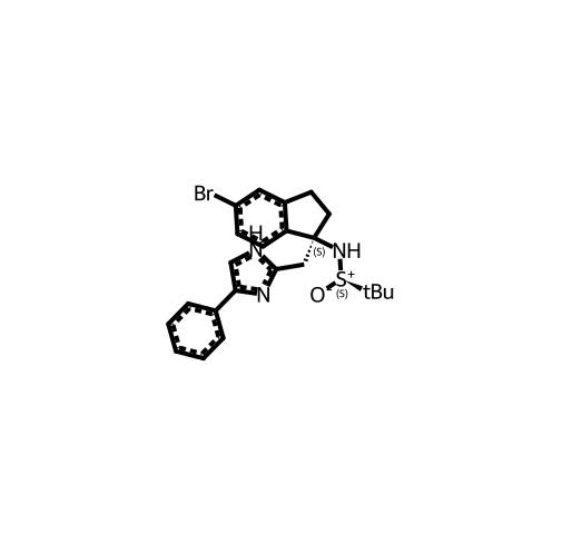 CC(C)(C)[S@@+]([O-])N[C@]1(Cc2nc(-c3ccccc3)c[nH]2)CCc2cc(Br)ccc21